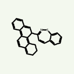 C1=Cc2ccccc2SN=C1C1C=c2ccccc2=c2ccc3c(c21)CCCC=3